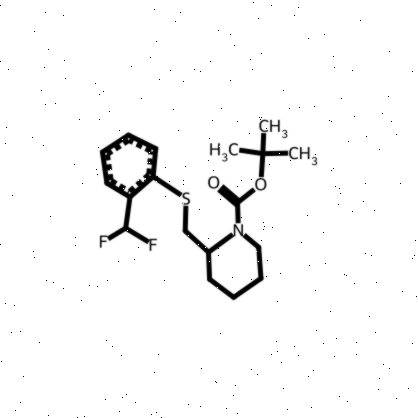 CC(C)(C)OC(=O)N1CCCCC1CSc1ccccc1C(F)F